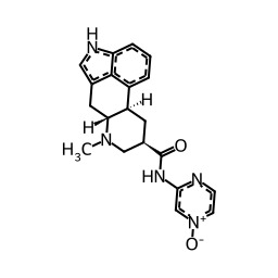 CN1C[C@H](C(=O)Nc2c[n+]([O-])ccn2)C[C@@H]2c3cccc4[nH]cc(c34)C[C@H]21